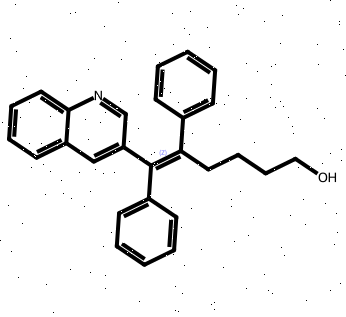 OCCCC/C(=C(\c1ccccc1)c1cnc2ccccc2c1)c1ccccc1